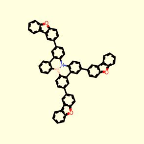 c1ccc2c(c1)B1c3ccc(-c4ccc5oc6ccccc6c5c4)cc3-c3cc(-c4ccc5oc6ccccc6c5c4)ccc3N1c1ccc(-c3ccc4oc5ccccc5c4c3)cc1-2